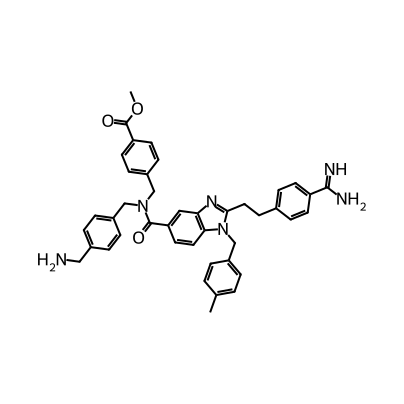 COC(=O)c1ccc(CN(Cc2ccc(CN)cc2)C(=O)c2ccc3c(c2)nc(CCc2ccc(C(=N)N)cc2)n3Cc2ccc(C)cc2)cc1